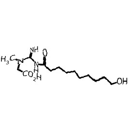 CN(CC(=O)O)C(=N)NC(=O)CCCCCCCCCO